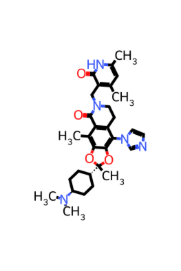 Cc1cc(C)c(CN2CCc3c(c(C)c4c(c3-n3ccnc3)OC(C)([C@H]3CC[C@H](N(C)C)CC3)O4)C2=O)c(=O)[nH]1